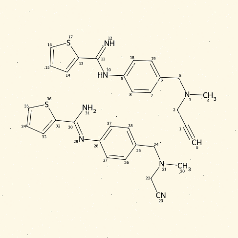 C#CCN(C)Cc1ccc(NC(=N)c2cccs2)cc1.CN(CC#N)Cc1ccc(N=C(N)c2cccs2)cc1